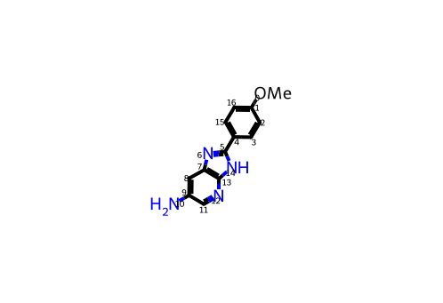 COc1ccc(-c2nc3cc(N)cnc3[nH]2)cc1